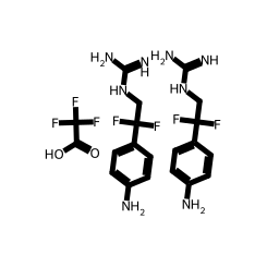 N=C(N)NCC(F)(F)c1ccc(N)cc1.N=C(N)NCC(F)(F)c1ccc(N)cc1.O=C(O)C(F)(F)F